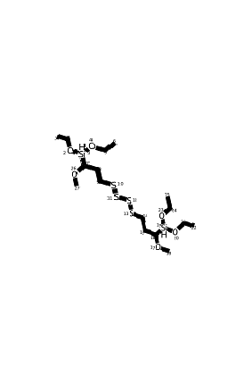 CCO[SiH](OCC)C(CCSSSSCCC(OC)[SiH](OCC)OCC)OC